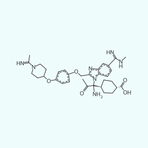 CNC(=N)c1ccc2c(c1)nc(COc1ccc(OC3CCN(C(C)=N)CC3)cc1)n2C(N)(C(C)=O)[C@H]1CC[C@H](C(=O)O)CC1